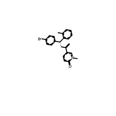 C=C(C[C@H](c1ccc(Br)cc1)c1ccccc1C)c1ccc(=O)n(C)c1